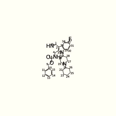 N=Cc1c(CNC(=O)OCc2ccccc2)n(C2CCN(C3CCCCC3)CC2)c2ccc(F)cc12